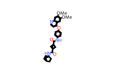 COc1cc2nccc(Oc3ccc(NC(=O)C45CC(C(=O)NC67CCC(CC6)C7)(C4)C5)cc3)c2cc1OC